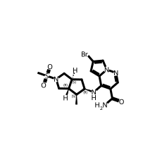 C[C@H]1[C@@H]2CN(S(C)(=O)=O)C[C@H]2C[C@H]1Nc1c(C(N)=O)cnn2cc(Br)cc12